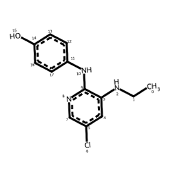 CCNc1cc(Cl)cnc1Nc1ccc(O)cc1